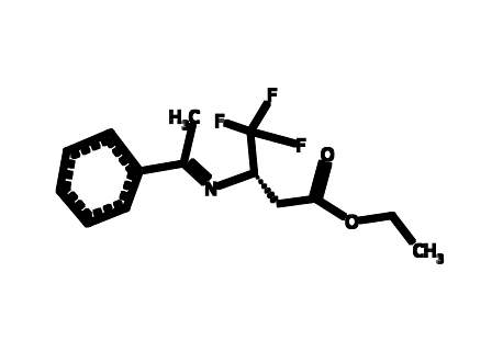 CCOC(=O)C[C@H](/N=C(\C)c1ccccc1)C(F)(F)F